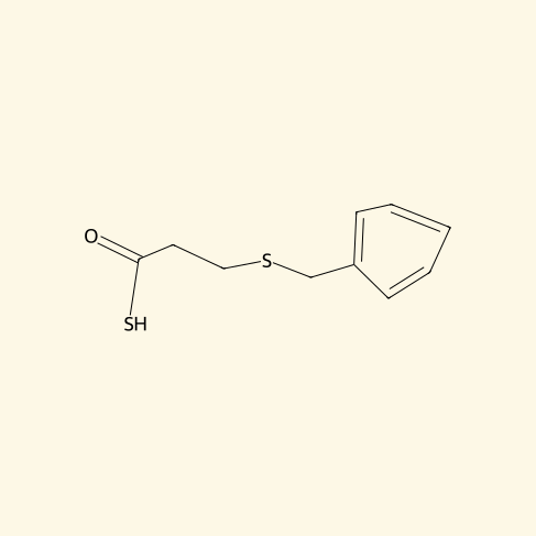 O=C(S)CCSCc1ccccc1